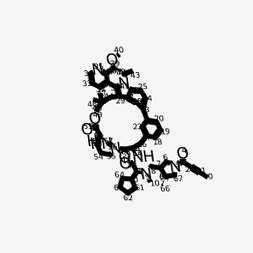 CC#CC(=O)N1CC(CN(C)[C@H](C(=O)N[C@H]2Cc3cccc(c3)-c3ccc4c(c3)c(c(-c3cccnc3[C@H](C)OC)n4CC)CC(C)(C)COC(=O)[C@@H]3CCCN(N3)C2=O)C2CCCC2)[C@@H](C)C1